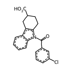 O=C(O)C1CCc2c(c3ccccc3n2C(=O)c2cccc(Cl)c2)C1